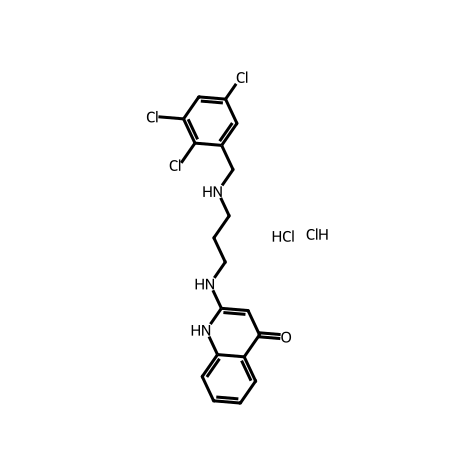 Cl.Cl.O=c1cc(NCCCNCc2cc(Cl)cc(Cl)c2Cl)[nH]c2ccccc12